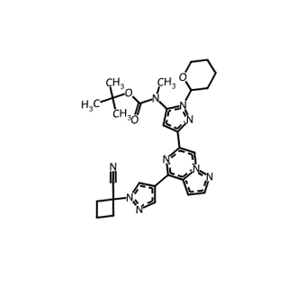 CN(C(=O)OC(C)(C)C)c1cc(-c2cn3nccc3c(-c3cnn(C4(C#N)CCC4)c3)n2)nn1C1CCCCO1